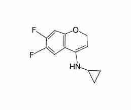 Fc1cc2c(cc1F)C(NC1CC1)=CCO2